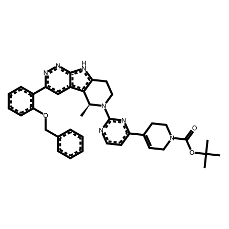 C[C@H]1c2c([nH]c3nnc(-c4ccccc4OCc4ccccc4)cc23)CCN1c1nccc(C2=CCN(C(=O)OC(C)(C)C)CC2)n1